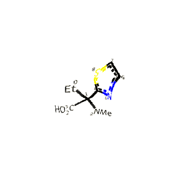 CCC(NC)(C(=O)O)c1nccs1